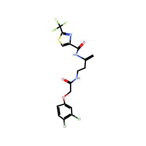 C=C(CCNC(=O)COc1ccc(Cl)c(Cl)c1)NC(=O)c1csc(C(F)(F)F)n1